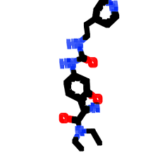 CCN(CC)C(=O)c1noc2cc(NC(=O)NCCc3ccncc3)ccc12